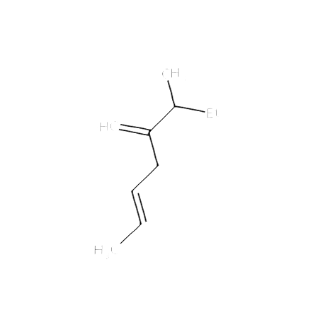 [CH]=C(CC=CC)C(C)CC